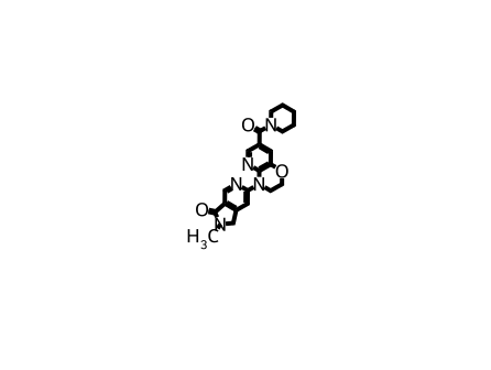 CN1Cc2cc(N3CCOc4cc(C(=O)N5CCCCC5)cnc43)ncc2C1=O